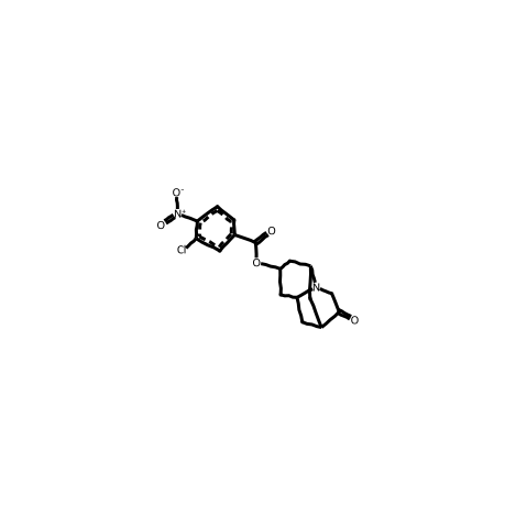 O=C(OC1CC2CC3CC(C1)N2CC3=O)c1ccc([N+](=O)[O-])c(Cl)c1